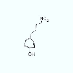 O=[N+]([O-])CCCCc1ccc(O)cc1